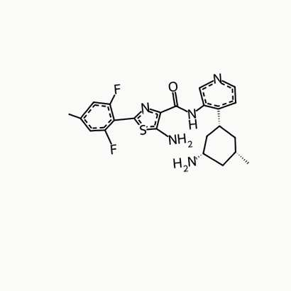 Cc1cc(F)c(-c2nc(C(=O)Nc3cnccc3[C@@H]3C[C@H](C)C[C@H](N)C3)c(N)s2)c(F)c1